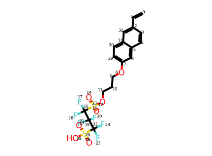 C=Cc1ccc2cc(OCCCOS(=O)(=O)C(F)(F)C(F)(F)C(F)(F)S(=O)(=O)O)ccc2c1